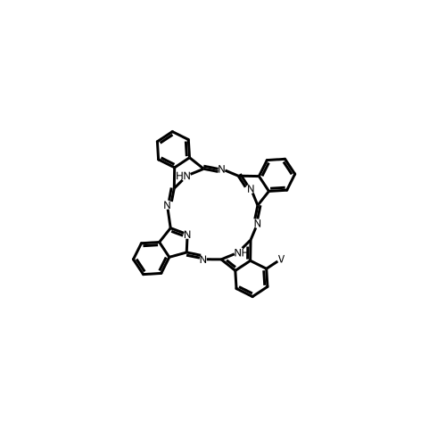 [V][c]1cccc2c3nc4nc(nc5[nH]c(nc6nc(nc([nH]3)c12)-c1ccccc1-6)c1ccccc51)-c1ccccc1-4